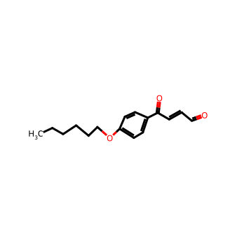 CCCCCCOc1ccc(C(=O)C=CC=O)cc1